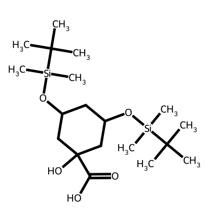 CC(C)(C)[Si](C)(C)OC1CC(O[Si](C)(C)C(C)(C)C)CC(O)(C(=O)O)C1